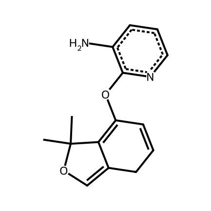 CC1(C)OC=C2CC=CC(Oc3ncccc3N)=C21